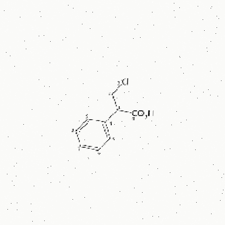 O=C(O)C(CCl)c1ccccc1